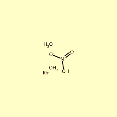 O.O.O=[N+]([O-])O.[Rh]